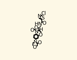 O=C(NC[C@@H]1OC(=O)N2c3ccc(N4CCOCC4=O)cc3OC[C@@H]12)c1cnc(Cl)s1